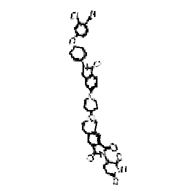 N#Cc1ccc(O[C@H]2CC[C@H](N3Cc4cc(N5CCC(N6CCc7cc8c(cc7C6)C(=O)N(C6CCC(=O)NC6=O)C8=O)CC5)ccc4C3=O)CC2)cc1Cl